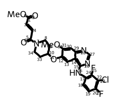 COC(=O)C=CC(=O)N1CCC(Oc2cc3c(Nc4ccc(F)c(Cl)c4F)ncnc3cc2OC)CC1